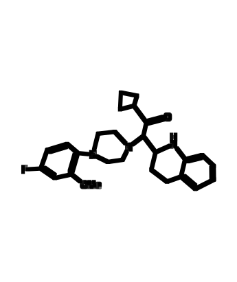 COc1cc(F)ccc1N1CCN(C(C(=O)C2CCC2)C2CCc3ccccc3N2)CC1